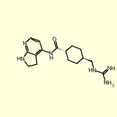 N=C(N)NC[C@H]1CC[C@H](C(=O)Nc2ccnc3c2CCN3)CC1